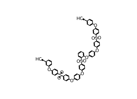 C#Cc1ccc(Oc2ccc(S(=O)(=O)c3ccc(Oc4ccc(Oc5ccccc5S(=O)(=O)c5ccc(Oc6ccc(Oc7ccc(S(=O)(=O)c8ccc(Oc9cccc(C#C)c9)cc8)cc7)cc6)cc5)cc4)cc3)cc2)cc1